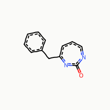 O=c1ncccc(Cc2ccccc2)n1